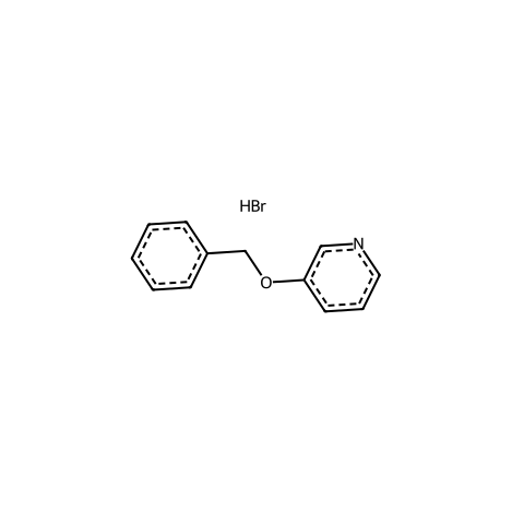 Br.c1ccc(COc2cccnc2)cc1